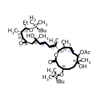 CC[C@H](O[Si](C)(C)C(C)(C)C)[C@@H](C)[C@H]1O[C@@H]1C[C@@](C)(O)/C=C/C=C(\C)[C@H]1OC(=O)C[C@H](O[Si](C)(C)C(C)(C)C)CC[C@@](C)(O)[C@H](OC(C)=O)/C=C/[C@@H]1C